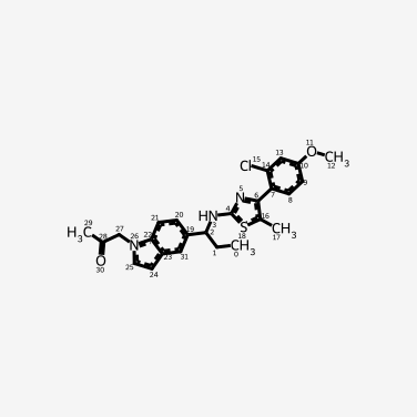 CCC(Nc1nc(-c2ccc(OC)cc2Cl)c(C)s1)c1ccc2c(ccn2CC(C)=O)c1